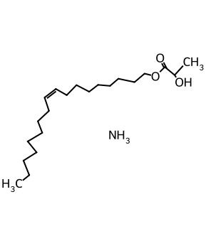 CCCCCCCC/C=C\CCCCCCCCOC(=O)C(C)O.N